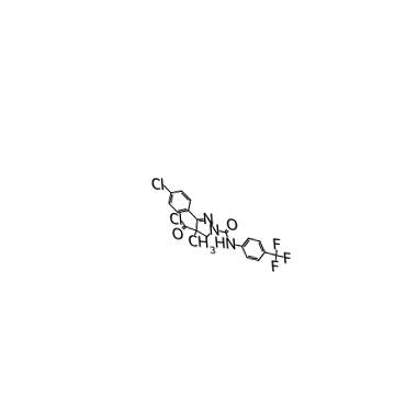 CC1(C(=O)Cl)CN(C(=O)Nc2ccc(C(F)(F)F)cc2)N=C1c1ccc(Cl)cc1